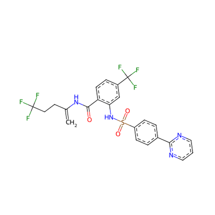 C=C(CCC(F)(F)F)NC(=O)c1ccc(C(F)(F)F)cc1NS(=O)(=O)c1ccc(-c2ncccn2)cc1